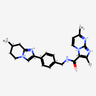 CCc1nc2nc(C)ccn2c1C(=O)NCc1ccc(-c2cn3c(n2)CC(C)CC3)cc1